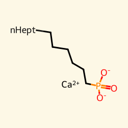 CCCCCCCCCCCCCP(=O)([O-])[O-].[Ca+2]